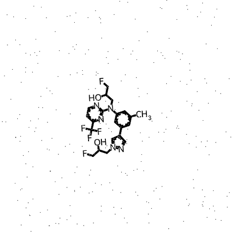 Cc1cc(-c2cnn(CC(O)CF)c2)cc(N(CC(O)CF)c2nccc(C(F)(F)F)n2)c1